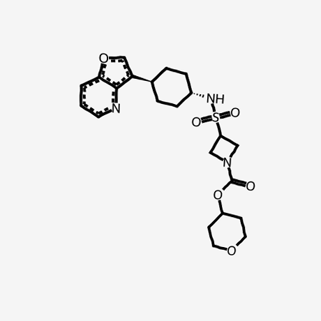 O=C(OC1CCOCC1)N1CC(S(=O)(=O)N[C@H]2CC[C@H](c3coc4cccnc43)CC2)C1